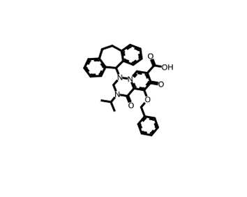 CC(C)N1CN(C2c3ccccc3CCc3ccccc32)n2cc(C(=O)O)c(=O)c(OCc3ccccc3)c2C1=O